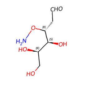 NO[C@H](CC=O)[C@@H](O)[C@H](O)CO